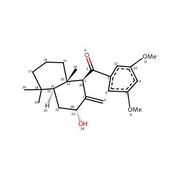 C=C1[C@H](C(=O)c2cc(OC)cc(OC)c2)[C@@]2(C)CCCC(C)(C)[C@@H]2C[C@H]1O